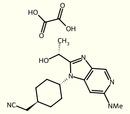 CNc1cc2c(cn1)nc([C@@H](C)O)n2[C@H]1CC[C@H](CC#N)CC1.O=C(O)C(=O)O